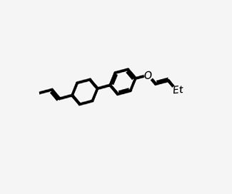 CC=CC1CCC(c2ccc(OC=CCC)cc2)CC1